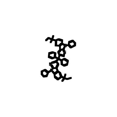 CCC(C)(C)c1ccc2c(c1)c1cc(C(c3ccccc3)(c3ccccc3)c3cnc4c(c3)c3cc(C(C)(C)CC)ccc3n4-c3ccccc3)cnc1n2-c1ccccc1